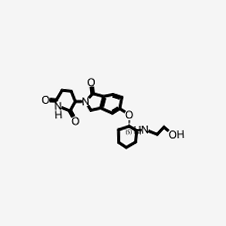 O=C1CCC(N2Cc3cc(O[C@H]4CCCC[C@@H]4NCCO)ccc3C2=O)C(=O)N1